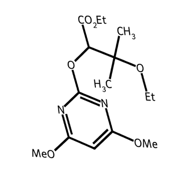 CCOC(=O)C(Oc1nc(OC)cc(OC)n1)C(C)(C)OCC